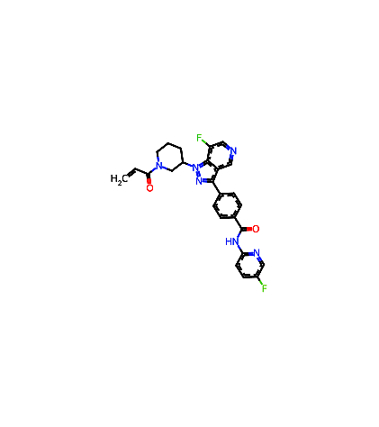 C=CC(=O)N1CCCC(n2nc(-c3ccc(C(=O)Nc4ccc(F)cn4)cc3)c3cncc(F)c32)C1